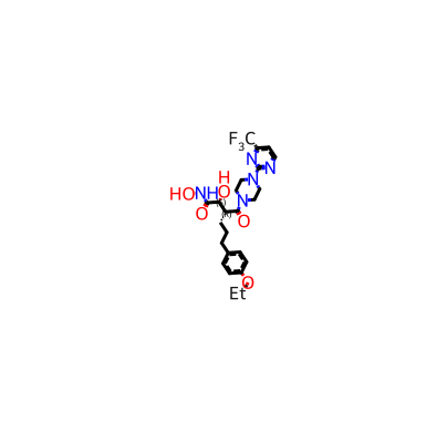 CCOc1ccc(CCC[C@@H](C(=O)N2CCN(c3nccc(C(F)(F)F)n3)CC2)[C@H](O)C(=O)NO)cc1